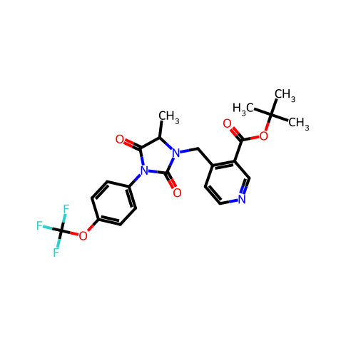 CC1C(=O)N(c2ccc(OC(F)(F)F)cc2)C(=O)N1Cc1ccncc1C(=O)OC(C)(C)C